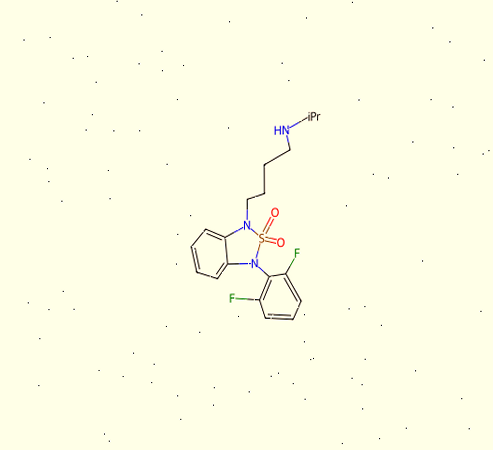 CC(C)NCCCCN1c2ccccc2N(c2c(F)cccc2F)S1(=O)=O